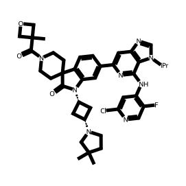 CC(C)n1cnc2cc(-c3ccc4c(c3)N([C@H]3C[C@@H](N5CCC(C)(C)C5)C3)C(=O)C43CCN(C(=O)C4(C)COC4)CC3)nc(Nc3cc(Cl)ncc3F)c21